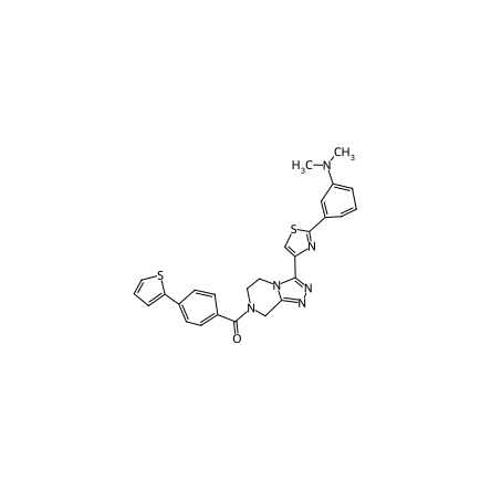 CN(C)c1cccc(-c2nc(-c3nnc4n3CCN(C(=O)c3ccc(-c5cccs5)cc3)C4)cs2)c1